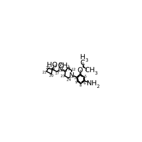 CC(C)Oc1cc(N)ccc1N1CCC(N(C)CC2(O)CCC2)CC1